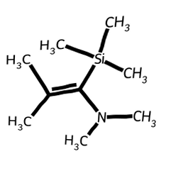 CC(C)=C(N(C)C)[Si](C)(C)C